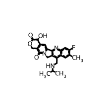 Cc1cc2c(CNC(C)C)c3c(nc2cc1F)-c1cc2c(c(=O)n1C3)COC(=O)[C@H]2O